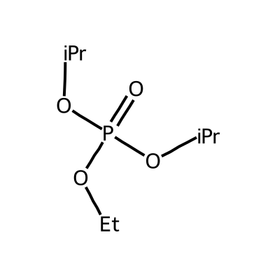 CCOP(=O)(OC(C)C)OC(C)C